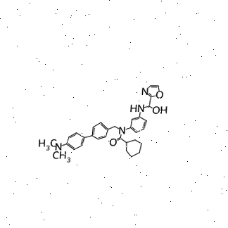 CN(C)c1ccc(-c2ccc(CN(C(=O)C3CCCCC3)c3cccc(NC(O)c4ncco4)c3)cc2)cc1